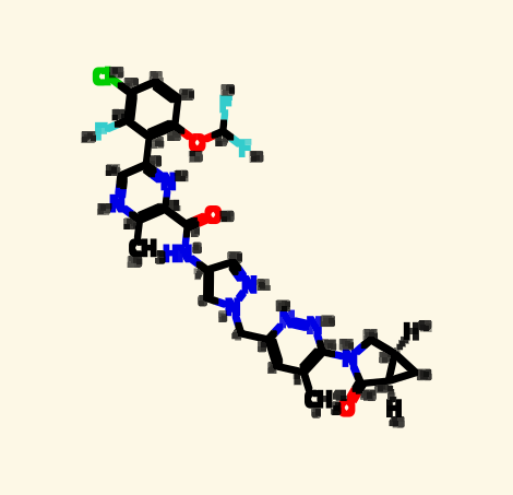 Cc1cc(Cn2cc(NC(=O)c3nc(-c4c(OC(F)F)ccc(Cl)c4F)cnc3C)cn2)nnc1N1C[C@H]2C[C@H]2C1=O